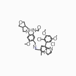 COc1cc(N2CC3COCC3C2)c(NC=O)cc1C/N=C\c1cc(-c2c(Cl)c(OC)cc(OC)c2Cl)c2nccn2c1C